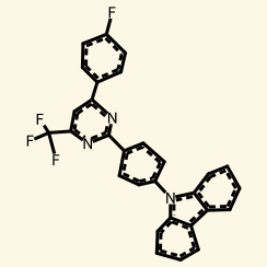 Fc1ccc(-c2cc(C(F)(F)F)nc(-c3ccc(-n4c5ccccc5c5ccccc54)cc3)n2)cc1